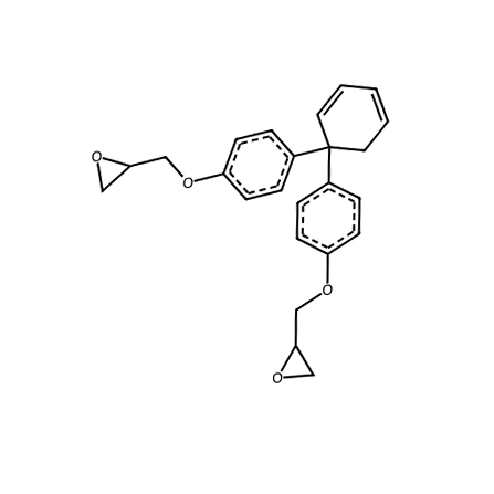 C1=CCC(c2ccc(OCC3CO3)cc2)(c2ccc(OCC3CO3)cc2)C=C1